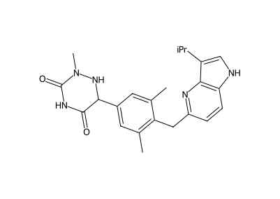 Cc1cc(C2NN(C)C(=O)NC2=O)cc(C)c1Cc1ccc2[nH]cc(C(C)C)c2n1